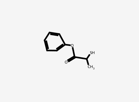 CC(S)C(=O)Oc1ccccc1